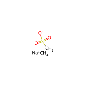 C.CS(=O)(=O)[O-].[Na+]